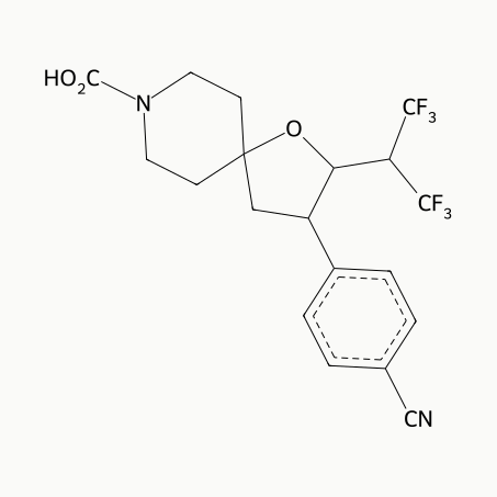 N#Cc1ccc(C2CC3(CCN(C(=O)O)CC3)OC2C(C(F)(F)F)C(F)(F)F)cc1